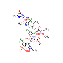 CCC/C(=N\OCC)C1=C(O)CC(CC(C)SCC)CC1=O.CCOC(=O)C1=NN(c2ccc(Cl)cc2Cl)C(C)(C(=O)OCC)C1.COc1cc(OC)n2nc(NS(=O)(=O)c3c(C(F)(F)F)ccnc3OC)nc2n1.Cc1nn(C)c(O)c1C(=O)c1ccc(C(F)(F)F)cc1S(C)(=O)=O